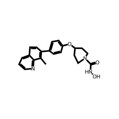 Cc1c(-c2ccc(OC3CCN(C(=O)NO)CC3)cc2)ccc2cccnc12